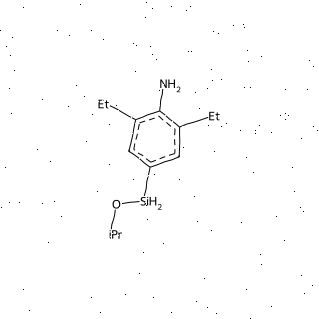 CCc1cc([SiH2]OC(C)C)cc(CC)c1N